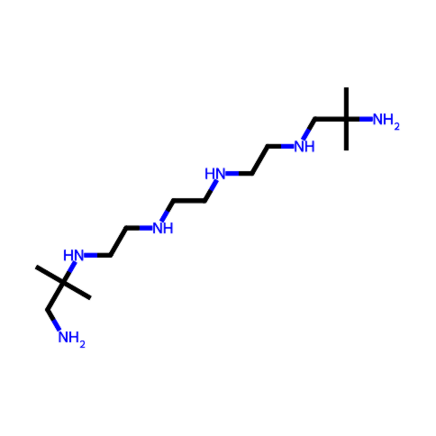 CC(C)(N)CNCCNCCNCCNC(C)(C)CN